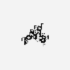 CCOC(=O)C1(C)CCC(n2ncc(C(=O)N(CC(=O)c3c(Cl)cc(F)cc3Cl)Cc3cc(F)cc(F)c3)c2C(F)(F)F)CC1